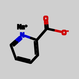 O=C([O-])c1ccccn1.[Na+]